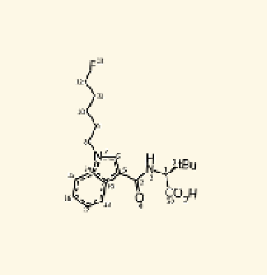 CC(C)(C)[C@H](NC(=O)c1cn(CCCCCF)c2ccccc12)C(=O)O